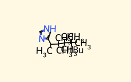 CC(c1c[nH]cn1)C(C)(C)C(C)(C)C(C)(C)C(C)(C)C